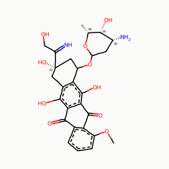 COc1cccc2c1C(=O)c1c(O)c3c(c(O)c1C2=O)C[C@@](O)(C(=N)CO)CC3OC1C[C@@H](N)[C@@H](O)[C@@H](C)O1